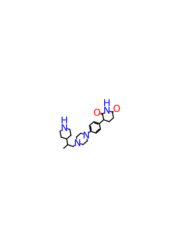 CC(CN1CCN(c2ccc(C3CCC(=O)NC3=O)cc2)CC1)C1CCNCC1